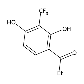 CCC(=O)c1ccc(O)c(C(F)(F)F)c1O